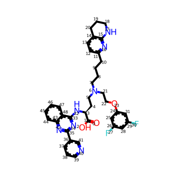 O=C(O)[C@H](CCN(CCCCc1ccc2c(n1)NCCC2)CCOc1cc(F)cc(F)c1)Nc1nc(-c2cccnc2)nc2ccccc12